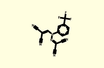 N#CC(C#N)=CN(N=C(C#N)C#N)c1cccc(C(F)(F)F)c1